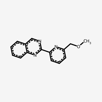 COCc1cccc(-c2ncc3ccccc3n2)n1